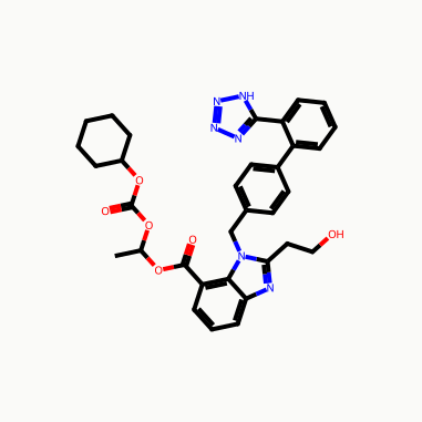 CC(OC(=O)OC1CCCCC1)OC(=O)c1cccc2nc(CCO)n(Cc3ccc(-c4ccccc4-c4nnn[nH]4)cc3)c12